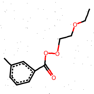 CCOC[CH]OOC(=O)c1cccc(C)c1